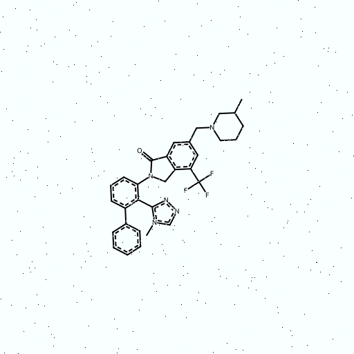 CC1CCCN(Cc2cc3c(c(C(F)(F)F)c2)CN(c2cccc(-c4ccccc4)c2-c2nncn2C)C3=O)C1